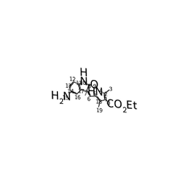 CCOC(=O)c1c(C)[nH]c(/C=C2\C(=O)Nc3ccc(N)cc32)c1C